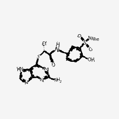 CC[C@@H](Sc1nc(N)nc2nc[nH]c12)C(=O)Nc1ccc(O)c(S(=O)(=O)NC)c1